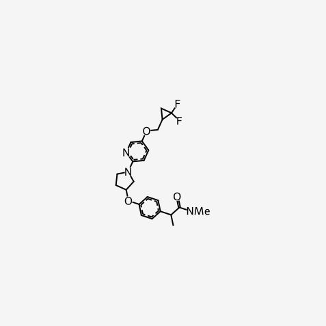 CNC(=O)C(C)c1ccc(OC2CCN(c3ccc(OCC4CC4(F)F)cn3)C2)cc1